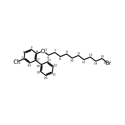 Clc1ccc(OCCCCCCCCCCBr)c(-c2ccccc2)c1